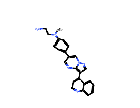 CCCCN(CCN)c1ccc(-c2cnc3c(-c4ccnc5ccccc45)cnn3c2)cc1